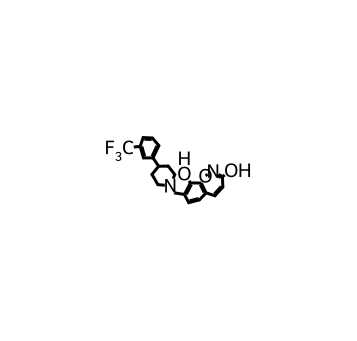 OC1=NOc2c(ccc(CN3CCC(c4cccc(C(F)(F)F)c4)CC3)c2O)C=C1